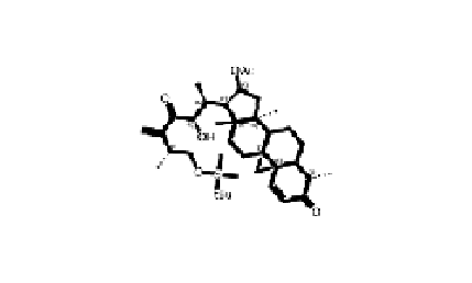 C=C(C(=O)[C@H](O)[C@@H](C)[C@H]1[C@@H](OC(C)=O)C[C@@]2(C)C3CCC4[C@H](C)C(=O)C=C[C@@]45C[C@@]35CC[C@]12C)[C@@H](C)CO[Si](C)(C)C(C)(C)C